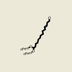 CCCCCOC(CCCCCCCCC/C=C/CCCl)OCCCCC